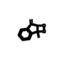 CC12OOC1Nc1ccccc12